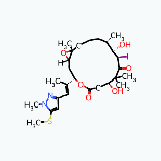 CSc1cc(/C=C(\C)[C@@H]2C[C@@H]3O[C@]3(C)CCC[C@H](C)[C@H](O)[C@@H](I)C(=O)C(C)(C)[C@@H](O)CC(=O)O2)nn1C